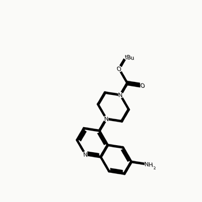 CC(C)(C)OC(=O)N1CCN(c2ccnc3ccc(N)cc23)CC1